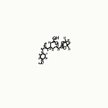 COc1ccc(CN(C)CC(CCCB2OC(C)(C)C(C)(C)O2)CC(=O)O)cc1